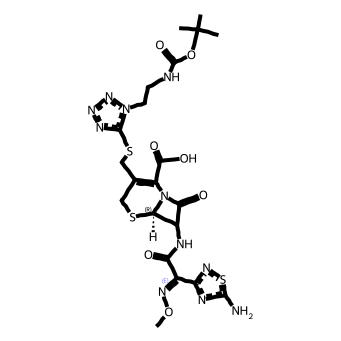 CO/N=C(/C(=O)NC1C(=O)N2C(C(=O)O)=C(CSc3nnnn3CCNC(=O)OC(C)(C)C)CS[C@H]12)c1nsc(N)n1